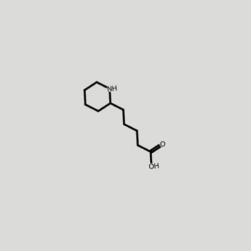 O=C(O)CCCCC1CCCCN1